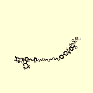 C=C(CCNC(=O)c1ccc(CCC2C=CC(OCCOCCOCCOCCOc3ccc(C4CCN(S(=O)(=O)c5ccc6c(=O)n(CC(=O)OC(C)(C)C)cnc6c5)CC4)cc3)=N2)nc1C1CCC[C@@H](C)CC(C)(C)C1)C(C)=N